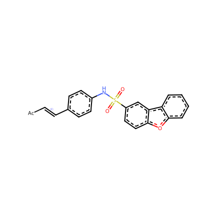 CC(=O)/C=C/c1ccc(NS(=O)(=O)c2ccc3oc4ccccc4c3c2)cc1